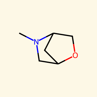 CN1CC2CC1CO2